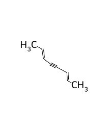 CC=CC#CC=CC